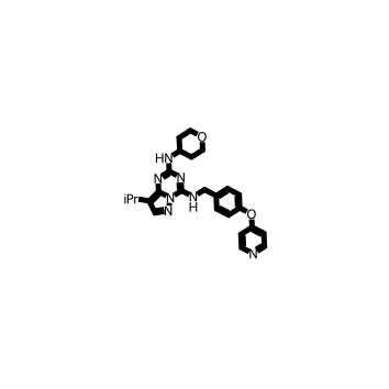 CC(C)c1cnn2c(NCc3ccc(Oc4ccncc4)cc3)nc(NC3CCOCC3)nc12